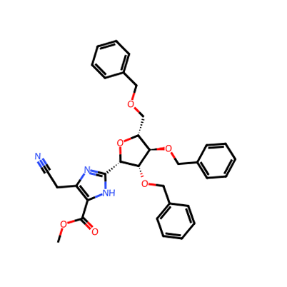 COC(=O)c1[nH]c([C@@H]2O[C@H](COCc3ccccc3)[C@@H](OCc3ccccc3)[C@@H]2OCc2ccccc2)nc1CC#N